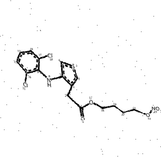 O=C(Cc1cscc1Nc1c(Cl)cccc1Cl)OCCCCO[N+](=O)[O-]